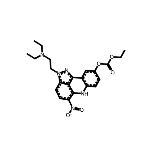 CCOC(=O)Oc1ccc2c(c1)-c1nn(CCN(CC)CC)c3ccc([N+](=O)[O-])c(c13)N2